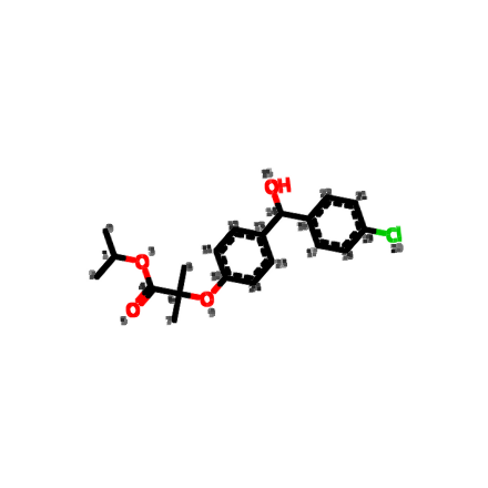 CC(C)OC(=O)C(C)(C)Oc1ccc(C(O)c2ccc(Cl)cc2)cc1